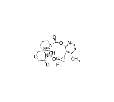 Cc1ccnc2c1C1C[C@H]1OC[C@H]1N(CCC[C@]13COCC(=O)N3)C(=O)O2